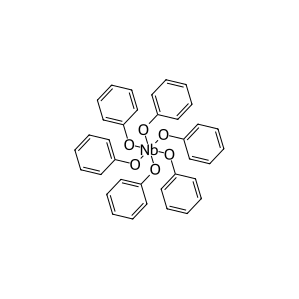 c1ccc([O][Nb]([O]c2ccccc2)([O]c2ccccc2)([O]c2ccccc2)([O]c2ccccc2)[O]c2ccccc2)cc1